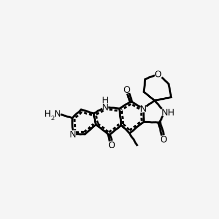 Cc1c2n(c(=O)c3[nH]c4cc(N)ncc4c(=O)c13)C1(CCOCC1)NC2=O